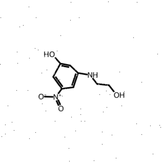 O=[N+]([O-])c1cc(O)cc(NCCO)c1